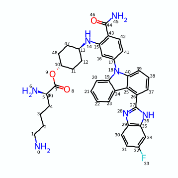 NCCCC[C@@H](N)C(=O)O[C@H]1CC[C@H](Nc2cc(-n3c4ccccc4c4c(-c5nc6ccc(F)cc6[nH]5)cccc43)ccc2C(N)=O)CC1